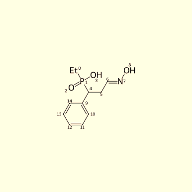 CCP(=O)(O)C(CC=NO)c1ccccc1